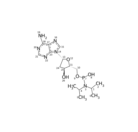 CC(C)N(C(C)C)P(O)OC[C@H]1O[C@@H](n2cnc3c(N)ncnc32)C[C@@H]1O